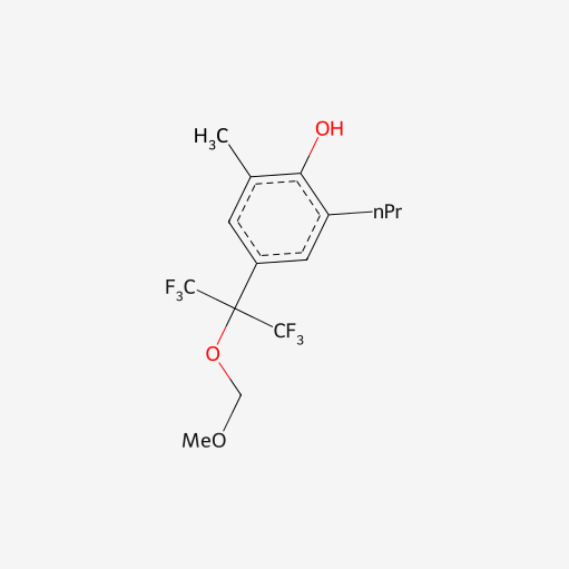 CCCc1cc(C(OCOC)(C(F)(F)F)C(F)(F)F)cc(C)c1O